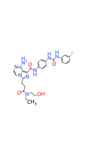 CCN(CCO)C(=O)CCc1nc(C(=O)Nc2ccc(NC(=O)Nc3cccc(F)c3)cc2)c2c(N)nccn12